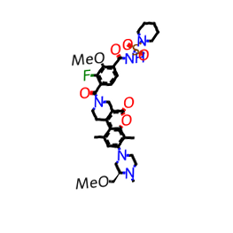 COC[C@H]1CN(c2cc(C)c3c4c(c(=O)oc3c2C)CN(C(=O)c2ccc(C(=O)NS(=O)(=O)N3CCCCC3)c(OC)c2F)CC4)CCN1C